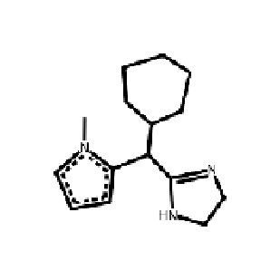 Cn1cccc1C(C1=NCCN1)C1CCCCC1